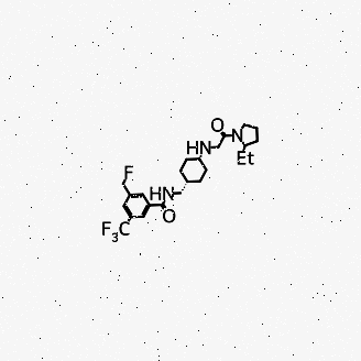 CCC1CCCN1C(=O)CN[C@H]1CC[C@@H](CNC(=O)c2cc(CF)cc(C(F)(F)F)c2)CC1